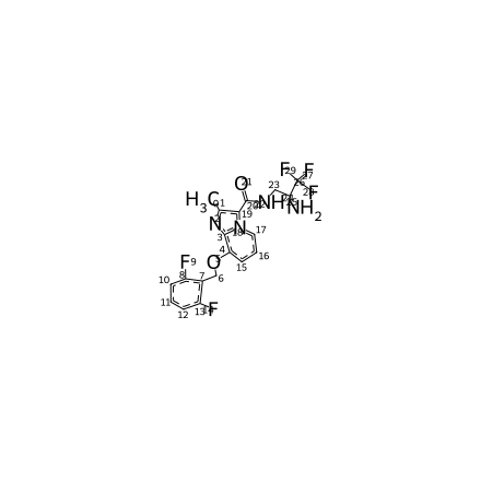 Cc1nc2c(OCc3c(F)cccc3F)cccn2c1C(=O)NCC(N)C(F)(F)F